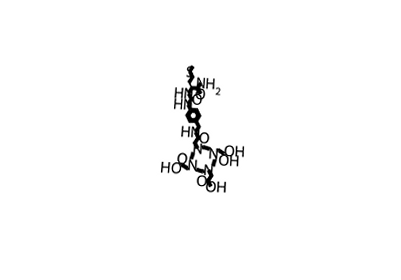 CSCC[C@H](NC(=O)Nc1ccc(CNC(=O)CN2CCN(CC(=O)O)CCN(CC(=O)O)CCN(CC(O)O)CC2)cc1)C(N)=O